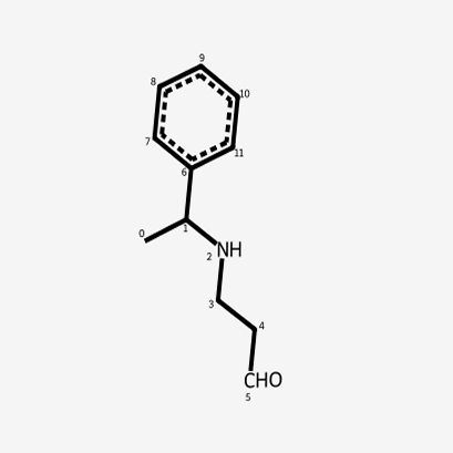 CC(NCCC=O)c1ccccc1